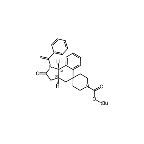 C=C(c1ccccc1)N1C(=O)C[C@H]2CC3(CCN(C(=O)OC(C)(C)C)CC3)c3ccccc3[C@H]21